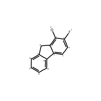 [O]c1c(F)ccc2c1Cc1ccccc1-2